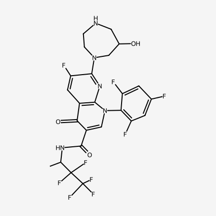 CC(NC(=O)c1cn(-c2c(F)cc(F)cc2F)c2nc(N3CCNCC(O)C3)c(F)cc2c1=O)C(F)(F)C(F)(F)F